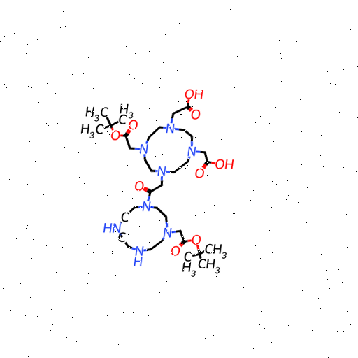 CC(C)(C)OC(=O)CN1CCN(CC(=O)O)CCN(CC(=O)O)CCN(CC(=O)N2CCNCCNCCN(CC(=O)OC(C)(C)C)CC2)CC1